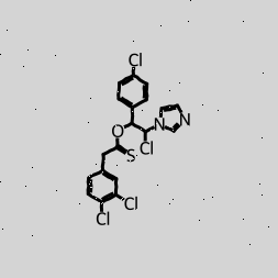 S=C(Cc1ccc(Cl)c(Cl)c1)OC(c1ccc(Cl)cc1)C(Cl)n1ccnc1